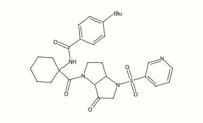 CC(C)(C)c1ccc(C(=O)NC2(C(=O)N3CCC4C3C(=O)CN4S(=O)(=O)c3cccnc3)CCCCC2)cc1